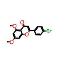 COc1cc(OC)c2c(=O)cc(-c3ccc(Br)cc3)oc2c1